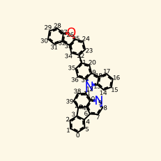 c1ccc2c(c1)-c1ccnc3c(-n4c5ccccc5c5cc(-c6ccc7oc8ccccc8c7c6)ccc54)ccc-2c13